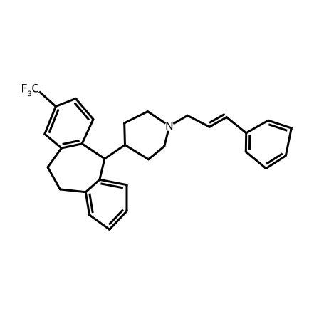 FC(F)(F)c1ccc2c(c1)CCc1ccccc1C2C1CCN(CC=Cc2ccccc2)CC1